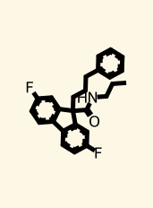 CCCNC(=O)C1(CCCc2ccccc2)c2cc(F)ccc2-c2ccc(F)cc21